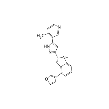 Cc1ccncc1-c1cc(-c2cc3c(-c4ccoc4)cccc3[nH]2)n[nH]1